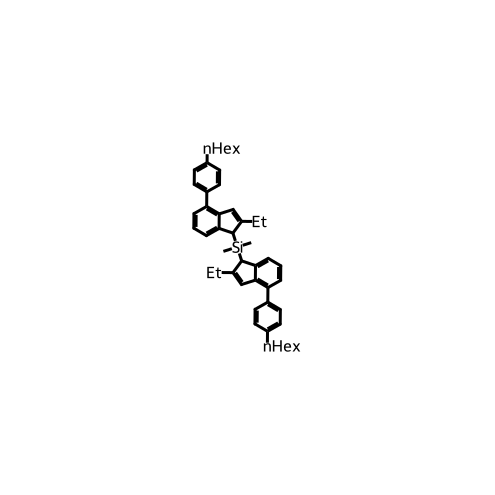 CCCCCCc1ccc(-c2cccc3c2C=C(CC)C3[Si](C)(C)C2C(CC)=Cc3c(-c4ccc(CCCCCC)cc4)cccc32)cc1